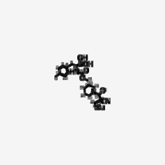 Cc1ccc(C[C@H](NC(=O)OC[C@H]2CCCN(C(=O)C(C#N)=CC(C)(C)C)C2)B(O)O)cc1